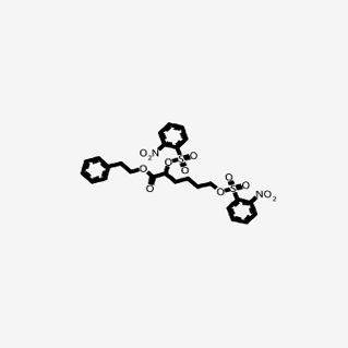 O=C(OCCc1ccccc1)C(CCCCOS(=O)(=O)c1ccccc1[N+](=O)[O-])OS(=O)(=O)c1ccccc1[N+](=O)[O-]